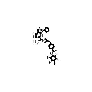 CC(c1nc2c(cnn2C2CCCC2)c(=O)[nH]1)N1CC(Cc2ccc(C(=O)Oc3c(F)c(F)c(F)c(F)c3F)cc2)C1